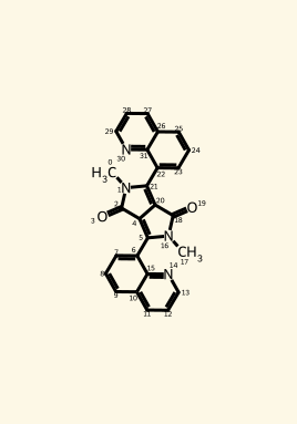 CN1C(=O)C2=C(c3cccc4cccnc34)N(C)C(=O)C2=C1c1cccc2cccnc12